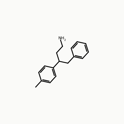 Cc1ccc(C(CCN)Cc2ccccc2)cc1